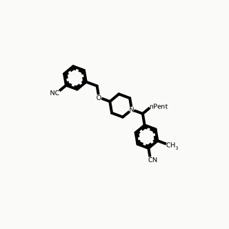 CCCCCC(c1ccc(C#N)c(C)c1)N1CCC(OCc2cccc(C#N)c2)CC1